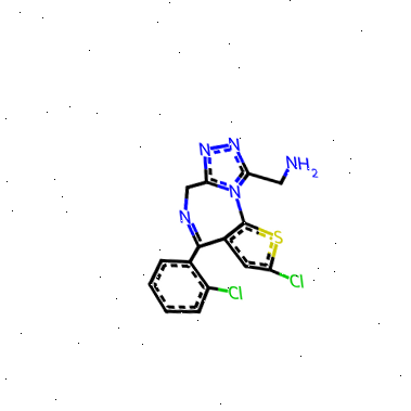 NCc1nnc2n1-c1sc(Cl)cc1C(c1ccccc1Cl)=NC2